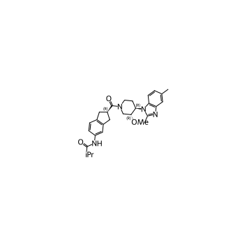 CO[C@@H]1CN(C(=O)[C@@H]2Cc3ccc(NC(=O)C(C)C)cc3C2)CC[C@H]1n1c(C)nc2cc(C)ccc21